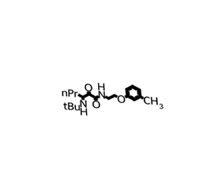 CCCC(NC(C)(C)C)C(=O)C(=O)NCCOc1cccc(C)c1